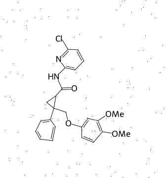 COc1ccc(OCC2(c3ccccc3)CC2C(=O)Nc2cccc(Cl)n2)cc1OC